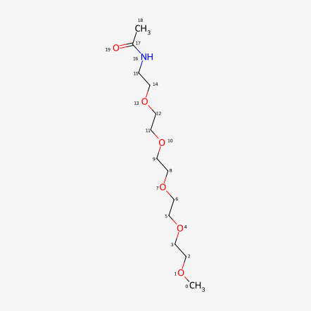 COCCOCCOCCOCCOCCNC(C)=O